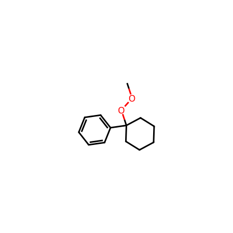 COOC1(c2ccccc2)CCCCC1